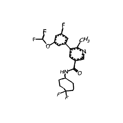 Cc1ncc(C(=O)NC2CCC(F)(F)CC2)cc1-c1cc(F)cc(OC(F)F)c1